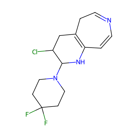 FC1(F)CCN(C2NC3=C(CC=NC=C3)CC2Cl)CC1